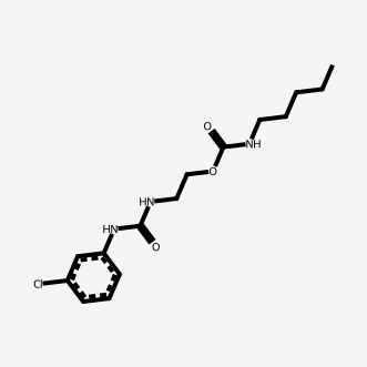 CCCCCNC(=O)OCCNC(=O)Nc1cccc(Cl)c1